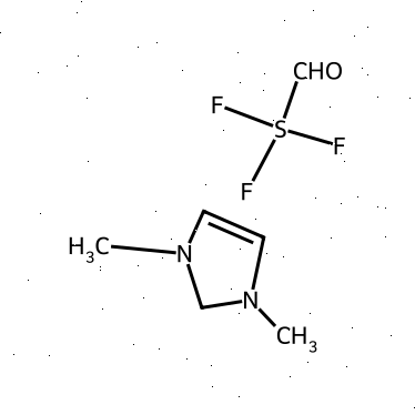 CN1C=CN(C)C1.O=CS(F)(F)F